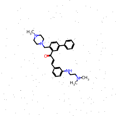 CN(C)CCNc1cccc(/C=C/C(=O)c2cc(-c3ccccc3)ccc2CN2CCN(C)CC2)c1